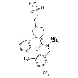 CN(Cc1cc(C(F)(F)F)cc(C(F)(F)F)c1)C(=O)[C@@H]1CCN(CCS(C)(=O)=O)C[C@H]1c1ccccc1.Cl